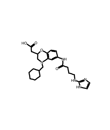 O=C(O)CC1CN(CC2CCCCC2)c2cc(NC(=O)CCCNc3ncc[nH]3)ccc2O1